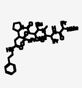 CCCS(=O)(=O)C(CC(=O)NCCc1ccccc1)C1CCCN1C(=O)CC(OC)C(C(C)CC)N(C)C(=O)C(NC(=O)C(NC)C(C)C)C(C)C